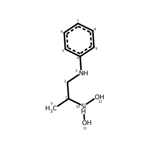 CC(CNc1ccccc1)[SiH](O)O